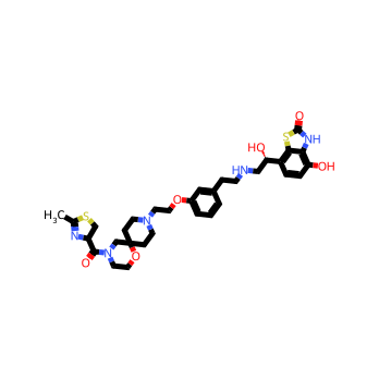 CC1=NC(C(=O)N2CCOC3(CCN(CCOc4cccc(CCNC[C@H](O)c5ccc(O)c6[nH]c(=O)sc56)c4)CC3)C2)CS1